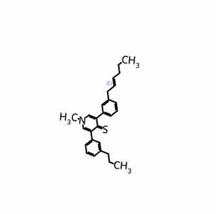 CCC/C=C/Cc1cccc(-c2cn(C)cc(-c3cccc(CCC)c3)c2=S)c1